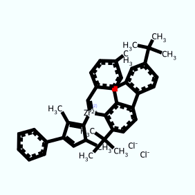 CC1=[C](/[Zr+2](=[CH]/c2ccc(C)cc2)[c]2c(C(C)(C)C)ccc3c2Cc2cc(C(C)(C)C)ccc2-3)C(C)C=C1c1ccccc1.[Cl-].[Cl-]